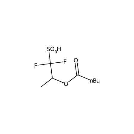 CCCCC(=O)OC(C)C(F)(F)S(=O)(=O)O